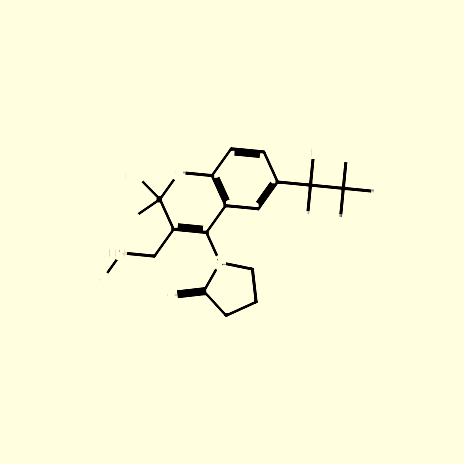 CNCC1=C(N2CCCC2=O)c2cc(C(F)(F)C(F)(F)F)ccc2OC1(C)C